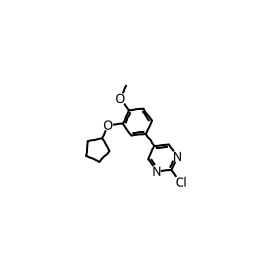 COc1ccc(-c2cnc(Cl)nc2)cc1OC1CCCC1